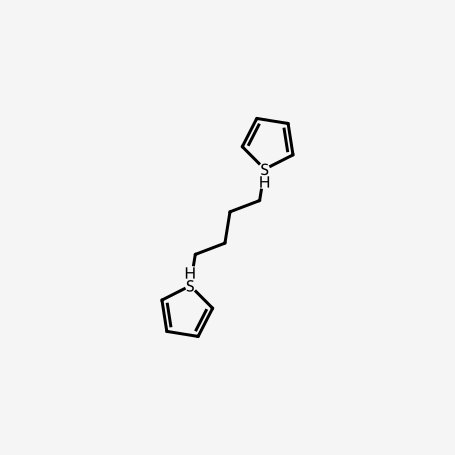 C1=C[SH](CCCC[SH]2C=CC=C2)C=C1